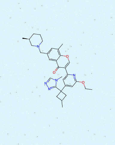 CCOc1cc(C2(c3nncn3C)CC(C)C2)cc(-c2coc3c(C)cc(CN4CCC[C@H](C)C4)cc3c2=O)n1